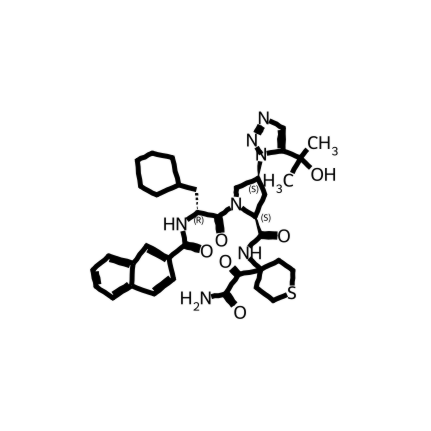 CC(C)(O)c1cnnn1[C@H]1C[C@@H](C(=O)NC2(C(=O)C(N)=O)CCSCC2)N(C(=O)[C@@H](CC2CCCCC2)NC(=O)c2ccc3ccccc3c2)C1